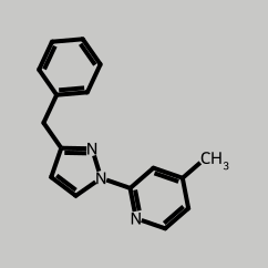 Cc1ccnc(-n2ccc(Cc3ccccc3)n2)c1